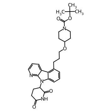 CC(C)(C)OC(=O)N1CCC(OCCCc2cccc3c2c2cccnc2n3C2CCC(=O)NC2=O)CC1